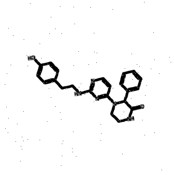 O=C1NCCN(c2ccnc(NCCc3ccc(O)cc3)n2)C1c1ccccc1